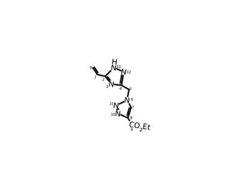 C=Cc1nc(Cn2cc(C(=O)OCC)nn2)n[nH]1